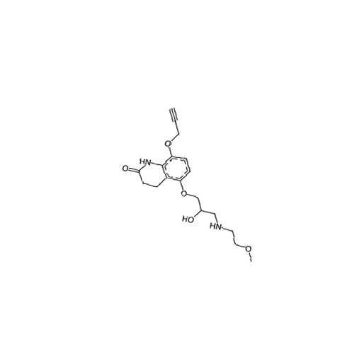 C#CCOc1ccc(OCC(O)CNCCOC)c2c1NC(=O)CC2